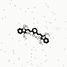 CN1/C(=C/C=C2\CCCC(/C=C/C3N(C)c4ccccc4C3(C)C)=C2Cl)C(C)(C)c2ccccc21